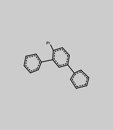 CC(C)c1ccc(-c2ccccc2)cc1-c1ccccc1